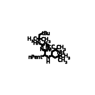 [CH2]CCCCC(NC1CC(C)(C)NC(C)(C)C1)c1n[c]nc(NC(C)(C)CC(C)(C)C)n1